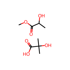 CC(C)(O)C(=O)O.COC(=O)C(C)O